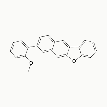 COc1ccccc1-c1ccc2cc3c(cc2c1)oc1ccccc13